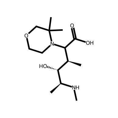 CN[C@@H](C)[C@H](O)[C@H](C)C(C(=O)O)N1CCOCC1(C)C